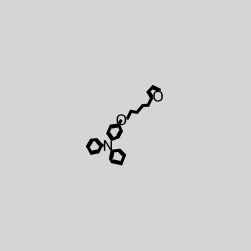 c1ccc(N(c2ccccc2)c2ccc(OCCCCCc3ccco3)cc2)cc1